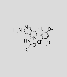 COc1cc(OC)c(Cl)c(-c2cc3cnc(N)cc3c(NC(=O)C3CC3)n2)c1Cl